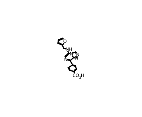 O=C(O)c1ccc(-c2ncc(NCc3ccco3)n3cnnc23)cc1